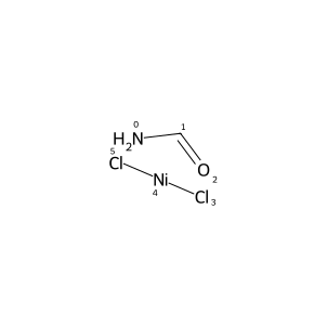 NC=O.[Cl][Ni][Cl]